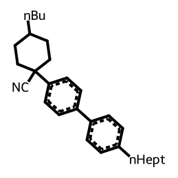 CCCCCCCc1ccc(-c2ccc(C3(C#N)CCC(CCCC)CC3)cc2)cc1